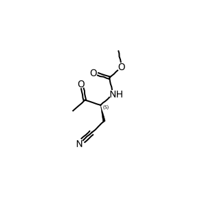 COC(=O)N[C@@H](CC#N)C(C)=O